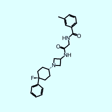 Cc1cccc(C(=O)NCC(=O)NC2CN([C@H]3CC[C@@](F)(c4ccccc4)CC3)C2)c1